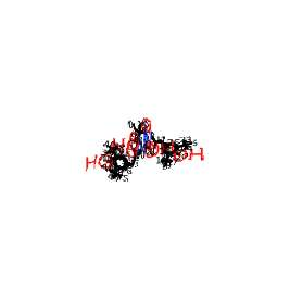 CCC1(CC)C(=O)N(CC(O)Cc2cc(C(C)(C)C)c(O)c(C(C)(C)C)c2)C(=O)N(CC(O)Cc2cc(C(C)(C)C)c(O)c(C(C)(C)C)c2)C1=O